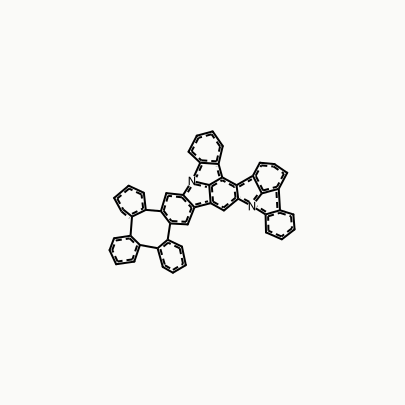 c1ccc2c(c1)-c1ccccc1-c1cc3c4cc5c(c6cccc7c8ccccc8n5c76)c5c6ccccc6n(c3cc1-c1ccccc1-2)c45